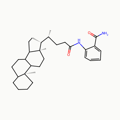 C[C@H](CCC(=O)Nc1ccccc1C(N)=O)[C@H]1CCC2C3CCC4CCCC[C@]4(C)C3CC[C@@]21C